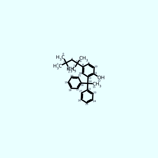 CC(C)(C)CC(C)(C)c1ccc(O)c(C(C)(c2ccccc2)c2ccccc2)c1